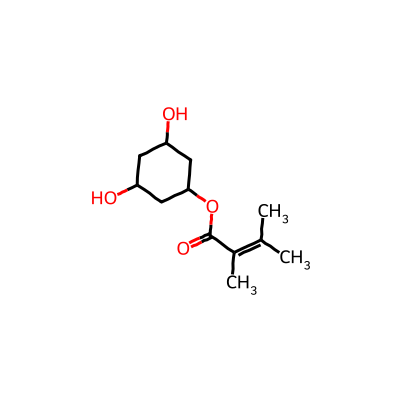 CC(C)=C(C)C(=O)OC1CC(O)CC(O)C1